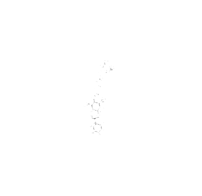 CCOC(COCCCCOc1c(CC)cc(OC(=O)c2ccccc2)cc1CC)OCC